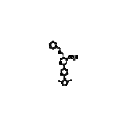 Cc1ccc(C)n1-c1ccc([C@@H]2CN(C(=O)O)[C@@H](COCc3ccccc3)CO2)cn1